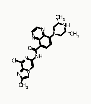 Cc1cn2cc(NC(=O)c3ccc(N4C[C@@H](C)N[C@@H](C)C4)c4nccnc34)nc(Cl)c2n1